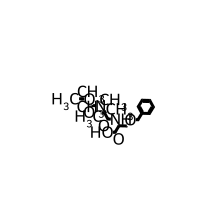 CN(C(=O)OC(C)(C)C)C(C)(C)C(=O)NC(COCc1ccccc1)C(=O)O